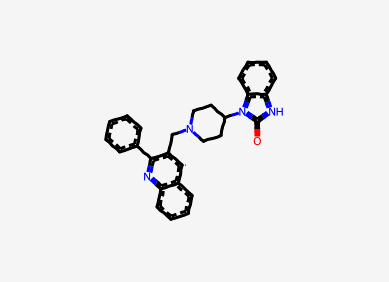 O=c1[nH]c2ccccc2n1C1CCN(Cc2[c]c3ccccc3nc2-c2ccccc2)CC1